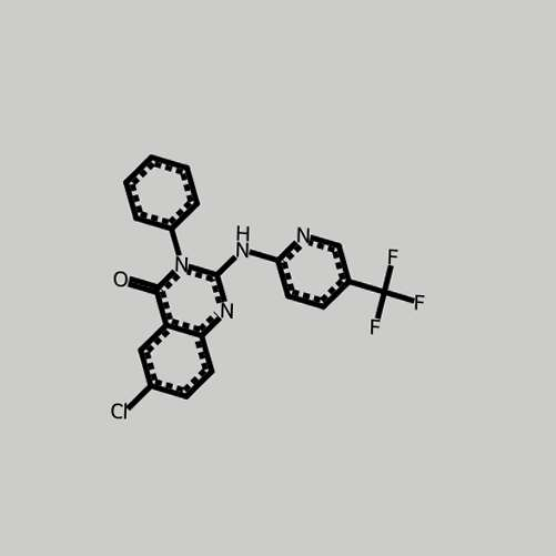 O=c1c2cc(Cl)ccc2nc(Nc2ccc(C(F)(F)F)cn2)n1-c1ccccc1